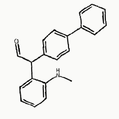 CNc1ccccc1C(C=O)c1ccc(-c2ccccc2)cc1